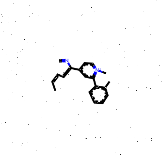 C=N/C(=C\C=C/C)c1cc[n+](C)c(-c2ccccc2C)c1